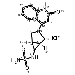 Cl.NS(=O)(=O)NC1[C@H]2CN(c3cc(=O)[nH]c4ccccc34)C[C@@H]12